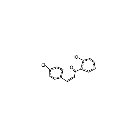 O=C(/C=C\c1ccc(Cl)cc1)c1ccccc1O